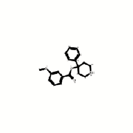 CSc1cccc(C(=O)OC2(c3ccccc3)CCNCC2)c1